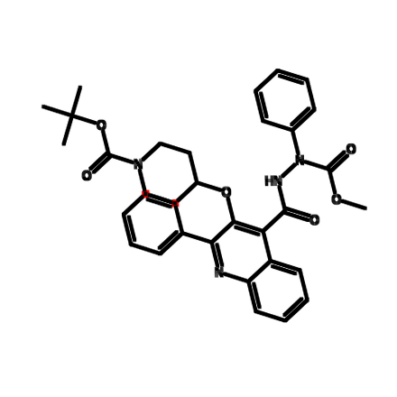 COC(=O)N(NC(=O)c1c(OC2CCN(C(=O)OC(C)(C)C)CC2)c(-c2ccccc2)nc2ccccc12)c1ccccc1